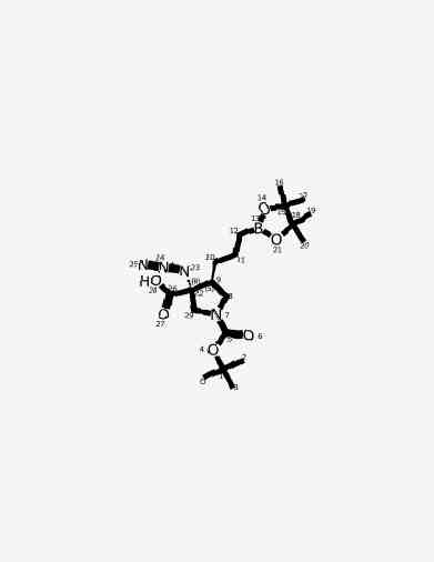 CC(C)(C)OC(=O)N1C[C@H](CCCB2OC(C)(C)C(C)(C)O2)[C@](N=[N+]=[N-])(C(=O)O)C1